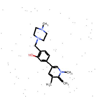 C=C1C(C)=CC(c2ccc(CN3CCN(C)CC3)c(O)c2)=CN1C